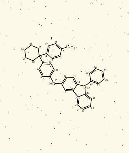 Nc1ccc(C2(c3ccc(Nc4ccc5c(c4)c4ccccc4n5-c4ccccc4)cc3)CCCCC2)cc1